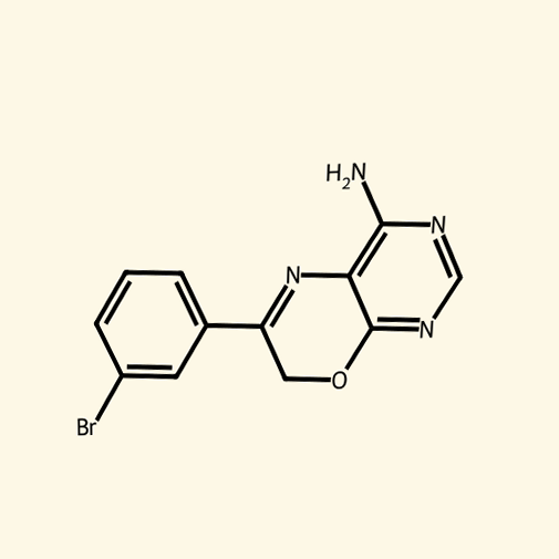 Nc1ncnc2c1N=C(c1cccc(Br)c1)CO2